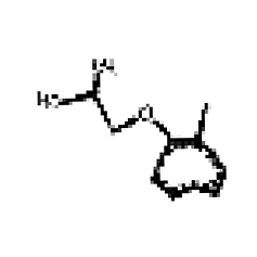 Cc1ccccc1OCC(O)O